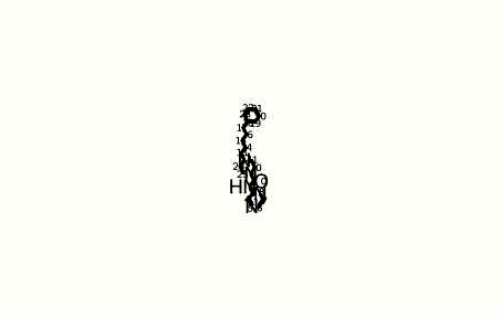 O=C(Nc1cnccn1)N1CCN(CCCCCc2ccccc2)CC1